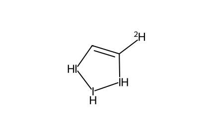 [2H]C1=C[IH][IH][IH]1